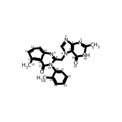 Cc1nc2ncn(Cc3nc4cccc(C)c4c(=O)n3-c3ccccc3C)c2c(=O)[nH]1